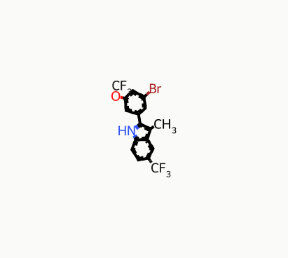 Cc1c(-c2cc(Br)cc(OC(F)(F)F)c2)[nH]c2ccc(C(F)(F)F)cc12